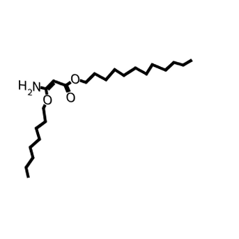 CCCCCCCCCCCCOC(=O)C=C(N)OCCCCCCCC